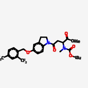 COC(=O)C(CC(=O)N1CCc2cc(OCc3ccc(C(F)(F)F)cc3C(F)(F)F)ccc21)N(C)C(=O)OC(C)(C)C